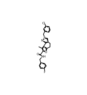 Cc1c(C(=O)NCc2ccc(F)cc2)oc2c1-c1nn(Cc3cccc(Cl)c3)cc1CC2